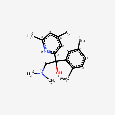 COc1ccc(C(C)(C)C)cc1C(O)(CN(C)C)c1cc(C(F)(F)F)cc(C)n1